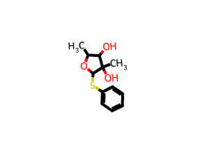 CC1OC(Sc2ccccc2)C(C)(O)C1O